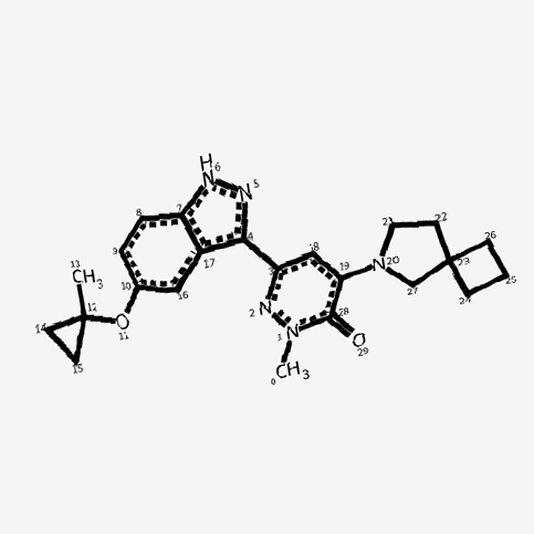 Cn1nc(-c2n[nH]c3ccc(OC4(C)CC4)cc23)cc(N2CCC3(CCC3)C2)c1=O